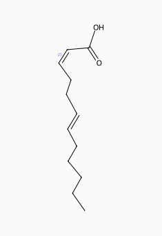 CCCCCC=CCC/C=C\C(=O)O